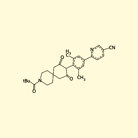 Cc1cc(-c2ccc(C#N)cn2)cc(C)c1C1C(=O)CC2(CCN(C(=O)C(C)(C)C)CC2)CC1=O